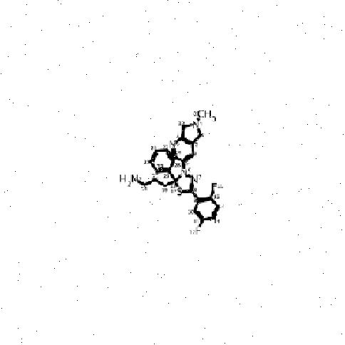 CN1Cc2cc(N3N=C(c4cc(F)ccc4F)SC3(CCCN)c3ccccc3)cnc2C1